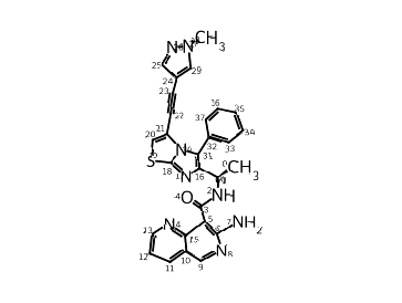 C[C@@H](NC(=O)c1c(N)ncc2cccnc12)c1nc2scc(C#Cc3cnn(C)c3)n2c1-c1ccccc1